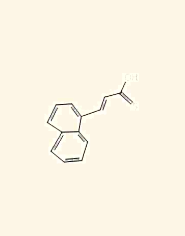 OC(=S)C=Cc1cccc2ccccc12